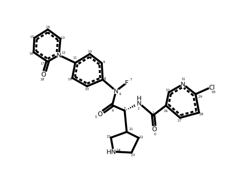 O=C(N[C@@H](C(=O)N(F)c1ccc(-n2ccccc2=O)cc1)C1CCNC1)c1ccc(Cl)nc1